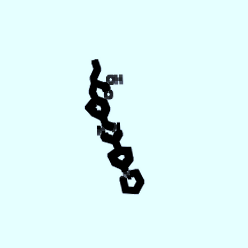 CCCC(Cc1ccc(-c2ncc(-c3ccc(N4CCCCC4)cc3)cn2)cc1)C(=O)O